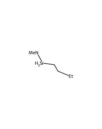 CCCC[SiH2]NC